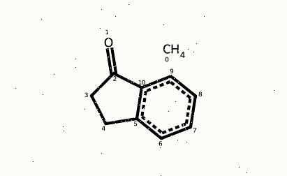 C.O=C1CCc2ccccc21